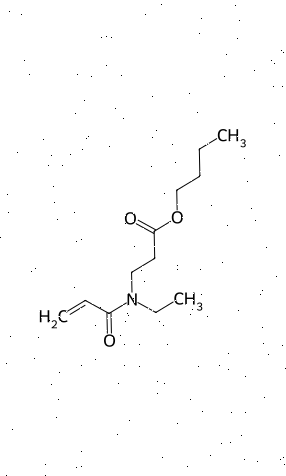 C=CC(=O)N(CC)CCC(=O)OCCCC